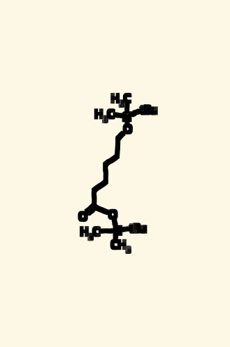 CC(C)(C)[Si](C)(C)OCCCCCC(=O)O[Si](C)(C)C(C)(C)C